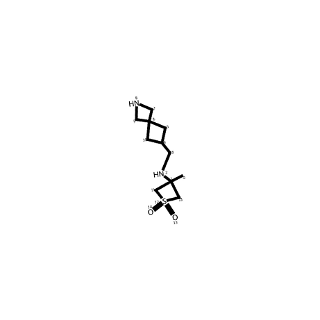 CC1(NCC2CC3(CNC3)C2)CS(=O)(=O)C1